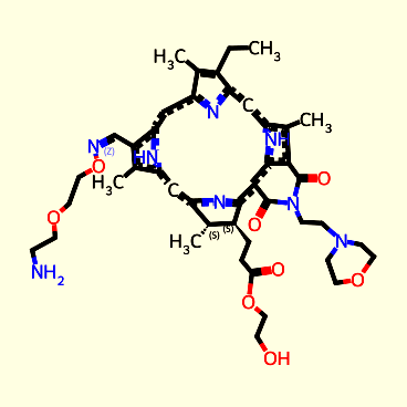 CCC1=C(C)c2cc3[nH]c(cc4nc(c5c6[nH]c(cc1n2)c(C)c6C(=O)N(CCN1CCOCC1)C5=O)[C@@H](CCC(=O)OCCO)[C@@H]4C)c(C)c3/C=N\OCCOCCN